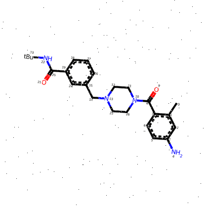 Cc1cc(N)ccc1C(=O)N1CCN(Cc2cccc(C(=O)NC(C)(C)C)c2)CC1